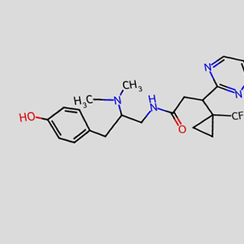 CN(C)C(CNC(=O)CC(c1ncccn1)C1(C(F)(F)F)CC1)Cc1ccc(O)cc1